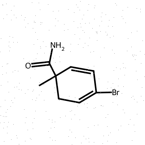 CC1(C(N)=O)C=CC(Br)=CC1